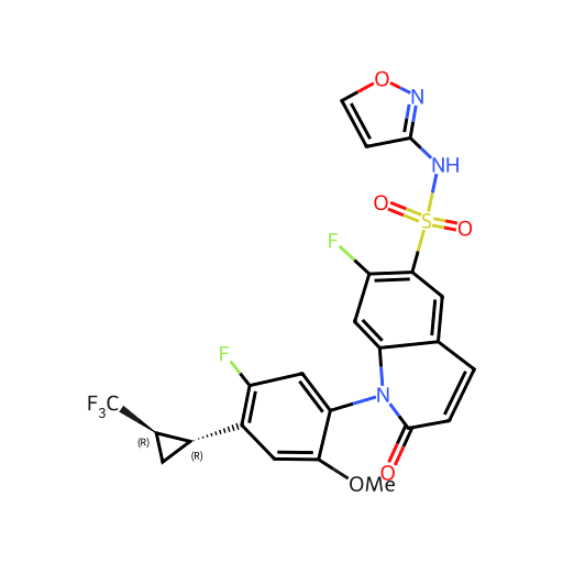 COc1cc([C@@H]2C[C@H]2C(F)(F)F)c(F)cc1-n1c(=O)ccc2cc(S(=O)(=O)Nc3ccon3)c(F)cc21